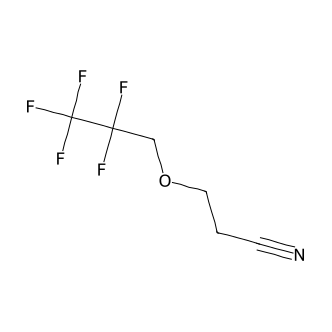 N#CCCOCC(F)(F)C(F)(F)F